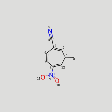 CC1C=C(C#N)C=CC([N+](=O)[O-])=C1